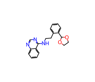 c1ccc(C2OCCO2)c(CCNc2ncnc3ccccc23)c1